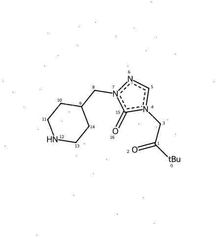 CC(C)(C)C(=O)Cn1cnn(CC2CCNCC2)c1=O